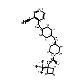 N#Cc1cnccc1OC1CCC(OC2CCN(C(=O)OC3(C(F)(F)F)CCC3)CC2)CC1